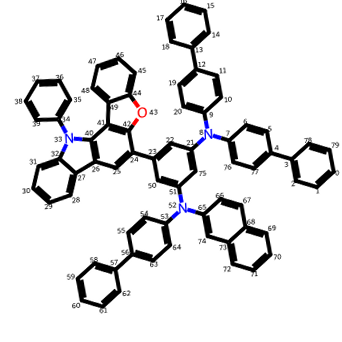 c1ccc(-c2ccc(N(c3ccc(-c4ccccc4)cc3)c3cc(-c4cc5c6ccccc6n(-c6ccccc6)c5c5c4oc4ccccc45)cc(N(c4ccc(-c5ccccc5)cc4)c4ccc5ccccc5c4)c3)cc2)cc1